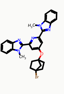 Cn1c(-c2cc(OC34CCC(Br)(CC3)C4)cc(-c3nc4ccccc4n3C)n2)nc2ccccc21